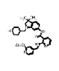 COc1cc(CNc2ncccc2C(=O)Nc2ccc3c(c2)N(CC2CCNCC2)CC3(C)C)ccn1